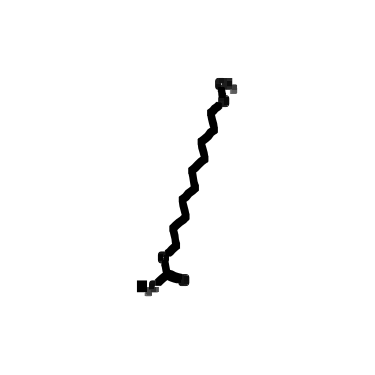 COCCCCCCCCCCOC(C)=O